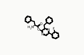 N[C@@H](Cc1ccccc1)C(=O)Oc1ncc(-c2ccccc2F)nc1Cc1ccccc1